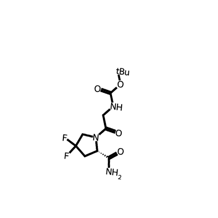 CC(C)(C)OC(=O)NCC(=O)N1CC(F)(F)C[C@H]1C(N)=O